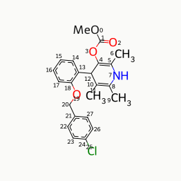 COC(=O)OC1=C(C)NC(C)=C(C)C1c1ccccc1OCc1ccc(Cl)cc1